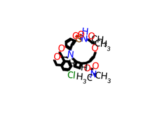 CN(C)C(=O)O[C@H]1C=CCOC(C)(C)C(=O)NS(=O)(=O)c2ccc3c(c2)N(C[C@@H]2CC[C@H]21)C[C@]1(CO3)OCCc2cc(Cl)ccc21